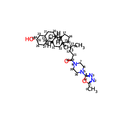 Cc1nnc(N2CCN(C(=O)CCC(C)[C@H]3CC[C@H]4[C@@H]5CCC6C[C@@H](O)CC[C@]6(C)[C@H]5CC[C@]34C)CC2)o1